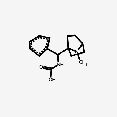 CN1C2CCC1(C(NC(=O)O)c1ccccc1)CC2